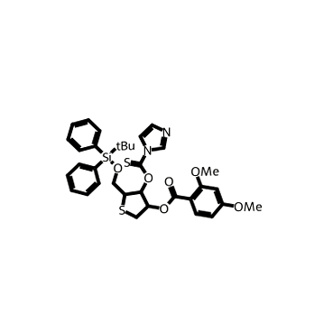 COc1ccc(C(=O)OC2CSC(CO[Si](c3ccccc3)(c3ccccc3)C(C)(C)C)C2OC(=S)n2ccnc2)c(OC)c1